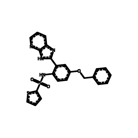 O=S(=O)(Nc1ccc(OCc2ccccc2)cc1-c1nc2cccnc2[nH]1)c1cccs1